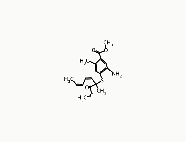 C/C=C\C=C/C(C)(Sc1cc(C)c(C(=O)OC)cc1N)C(=O)OC